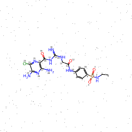 CCNS(=O)(=O)c1ccc(NC(=O)CNC(=N)NC(=O)c2nc(Cl)c(N)nc2N)cc1